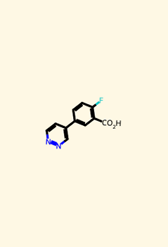 O=C(O)c1cc(-c2ccnnc2)ccc1F